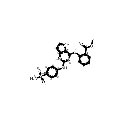 COC(=O)c1ccccc1Sc1nc(Nc2ccc(S(N)(=O)=O)cc2)nc2ccsc12